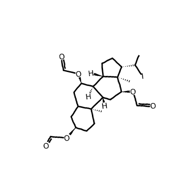 CC(I)[C@H]1CC[C@H]2[C@@H]3[C@H](OC=O)CC4C[C@H](OC=O)CC[C@]4(C)[C@H]3C[C@H](OC=O)[C@]12C